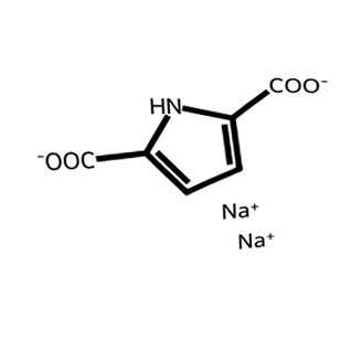 O=C([O-])c1ccc(C(=O)[O-])[nH]1.[Na+].[Na+]